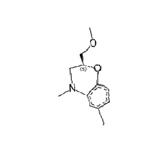 COC[C@@H]1CN(C)c2cc(C)ccc2O1